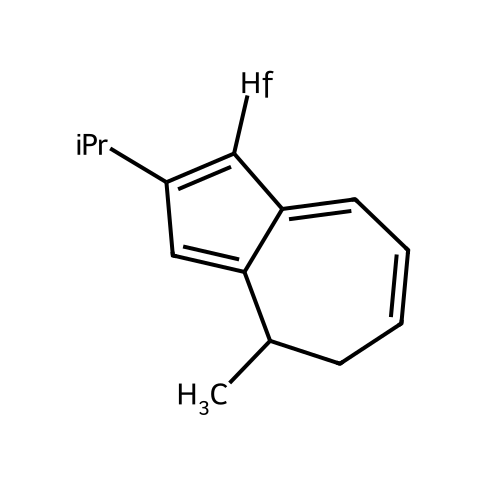 CC(C)C1=[C]([Hf])C2=CC=CCC(C)C2=C1